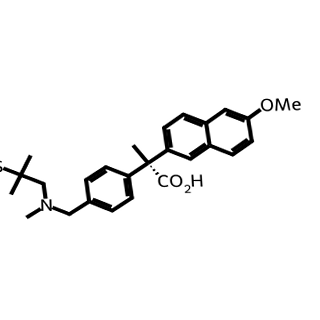 COc1ccc2cc([C@@](C)(C(=O)O)c3ccc(CN(C)CC(C)(C)S)cc3)ccc2c1